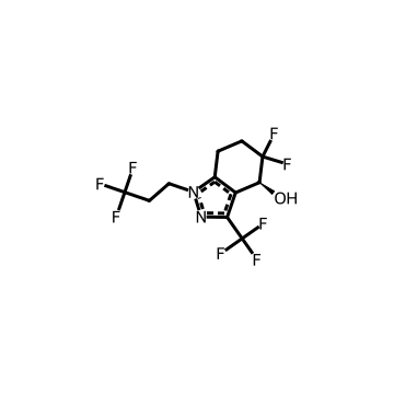 O[C@H]1c2c(C(F)(F)F)nn(CCC(F)(F)F)c2CCC1(F)F